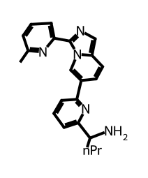 CCCC(N)c1cccc(-c2ccc3cnc(-c4cccc(C)n4)n3c2)n1